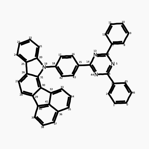 c1ccc(-c2nc(-c3ccccc3)nc(-c3ccc(-n4c5ccccc5c5ccc6c(c54)-c4cccc5cccc-6c45)cc3)n2)cc1